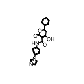 O=C(Nc1ccc(-n2ccnc2)cc1)C1=C(O)CC(c2ccccc2)OC1=O